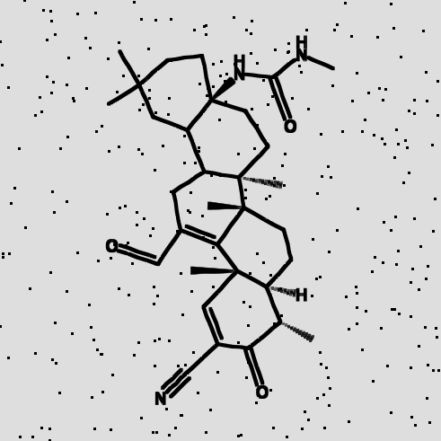 CNC(=O)N[C@]12CCC(C)(C)CC1C1CC(C=O)=C3[C@@]4(C)C=C(C#N)C(=O)[C@@H](C)[C@@H]4CC[C@@]3(C)[C@]1(C)CC2